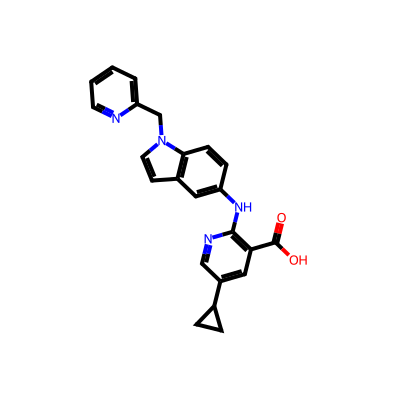 O=C(O)c1cc(C2CC2)cnc1Nc1ccc2c(ccn2Cc2ccccn2)c1